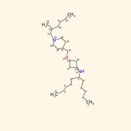 CCCCCC(CCCCC)N[C@H]1C[C@H](OCC2CCN(CC(C)CCCC)CC2)C1